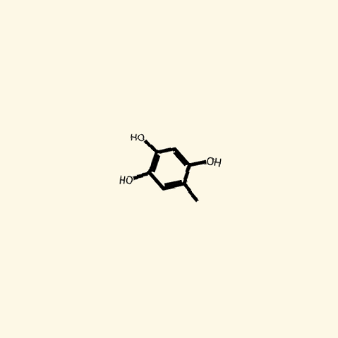 Cc1cc(O)c(O)cc1O